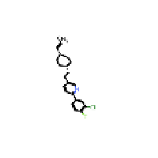 CC=C[C@H]1CC[C@H](CCc2ccc(-c3ccc(F)c(Cl)c3)nc2)CC1